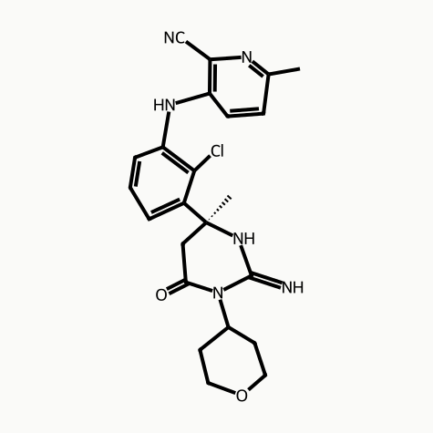 Cc1ccc(Nc2cccc([C@]3(C)CC(=O)N(C4CCOCC4)C(=N)N3)c2Cl)c(C#N)n1